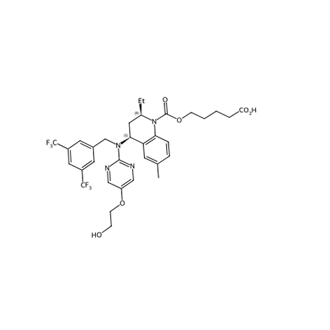 CC[C@@H]1C[C@H](N(Cc2cc(C(F)(F)F)cc(C(F)(F)F)c2)c2ncc(OCCO)cn2)c2cc(C)ccc2N1C(=O)OCCCCC(=O)O